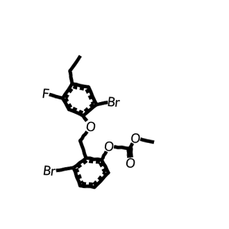 CCc1cc(Br)c(OCc2c(Br)cccc2OC(=O)OC)cc1F